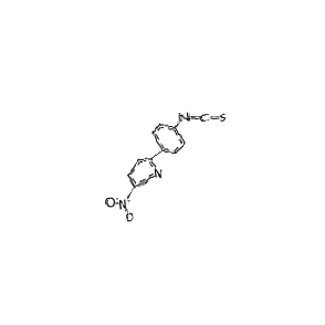 O=[N+]([O-])c1ccc(-c2ccc(N=C=S)cc2)nc1